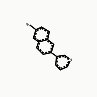 Brc1ccc2cc(-c3cccnc3)ccc2c1